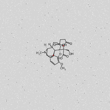 COc1ccc2c3c1O[C@@]1([C@@](CO)(C(=O)O)N4C(=O)CCC4=O)[C@@H](O)CC[C@H]4[C@@H](C2)N(C)CC[C@@]341